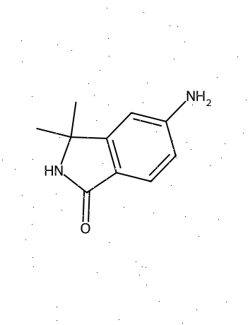 CC1(C)NC(=O)c2ccc(N)cc21